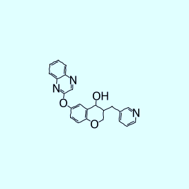 OC1c2cc(Oc3cnc4ccccc4n3)ccc2OCC1Cc1cccnc1